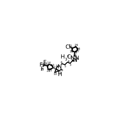 Cn1c(CCCCN2C[C@@H]3C[C@]3(c3ccc(C(F)(F)F)cc3)C2)nnc1-c1cccc(Cl)c1